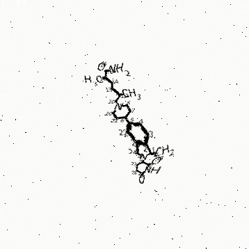 C=C1c2ccc(C3CCN(C/C(C)=C/C=C(\C)C(N)=O)CC3)cc2CN1C1CCC(=O)NC1=O